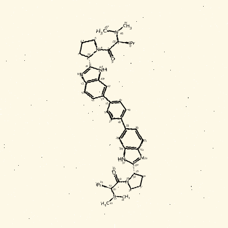 CC(C)[C@@H](C(=O)N1CCC[C@H]1c1nc2ccc(-c3ccc(-c4ccc5nc([C@@H]6CCCN6C(=O)[C@H](C(C)C)N(C)C)[nH]c5c4)cc3)cc2[nH]1)N(C)C